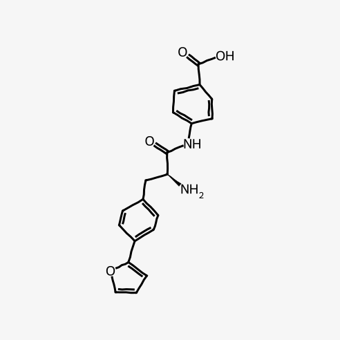 N[C@@H](Cc1ccc(-c2ccco2)cc1)C(=O)Nc1ccc(C(=O)O)cc1